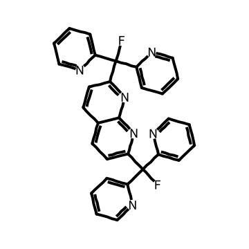 FC(c1ccccn1)(c1ccccn1)c1ccc2ccc(C(F)(c3ccccn3)c3ccccn3)nc2n1